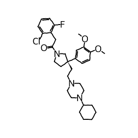 COc1ccc([C@]2(CCN3CCN(C4CCCCC4)CC3)CCN(C(=O)Cc3c(F)cccc3Cl)C2)cc1OC